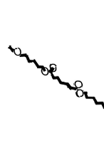 C=COCCCCCCOC(=O)CCCCCC(=O)OCCCCCCOC=C